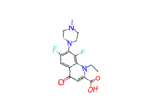 CCn1c(C(=O)O)cc(=O)c2cc(F)c(N3CCN(C)CC3)c(F)c21